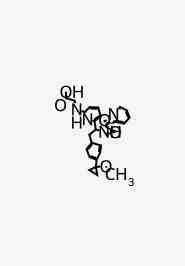 COC1(c2ccc(CC(NS(=O)(=O)c3ccccn3)c3cccc(NCC(=O)O)n3)cc2)CC1